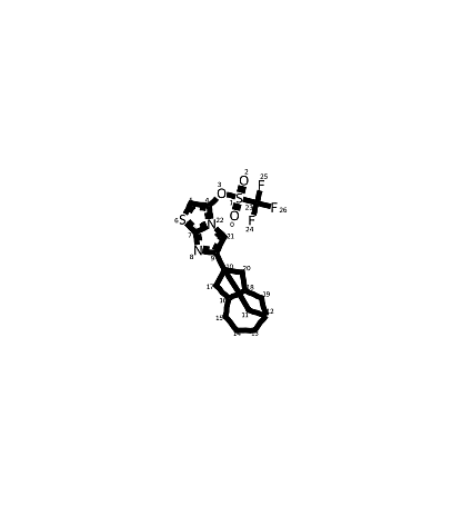 O=S(=O)(Oc1csc2nc(C34CC5CCCC(C3)C(C5)C4)cn12)C(F)(F)F